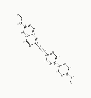 CCOc1ccc2cc(C#Cc3ccc(C4CCC(CC)CC4)cc3)ccc2c1